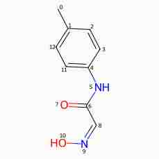 Cc1ccc(NC(=O)/C=N\O)cc1